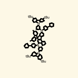 Cc1ccc(C2(c3ccc(C)cc3)c3cc(N(c4ccc(-c5ccccc5)cc4)c4cccc(-n5c6ccc(C(C)(C)C)cc6c6cc(C(C)(C)C)ccc65)c4)ccc3-c3c2cc(N(c2ccc(-c4ccccc4)cc2)c2cccc(-n4c5ccc(C(C)(C)C)cc5c5cc(C(C)(C)C)ccc54)c2)c2ccccc32)cc1